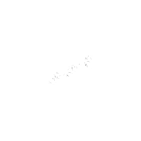 NN(CCOC(=O)Nc1ccc(C(=O)C=Cc2cccc(N3CCOCC3)n2)cc1)c1ccccn1